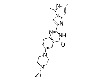 Cc1cc2nc(-c3nc4ccc(N5CCN(C6CC6)CC5)cc4c(=O)[nH]3)cn2c(C)n1